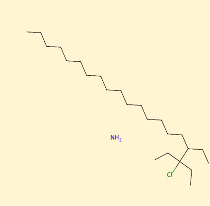 CCCCCCCCCCCCCCCCC(CC)C(Cl)(CC)CC.N